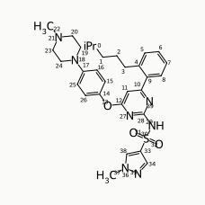 CC(C)CCCc1ccccc1-c1cc(Oc2ccc(N3CCN(C)CC3)cc2)nc(NS(=O)(=O)c2cnn(C)c2)n1